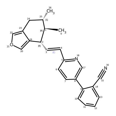 C[C@H]1[C@H](/C=C/c2ccc(-c3ccccc3C#N)cn2)c2cocc2C[C@@H]1C